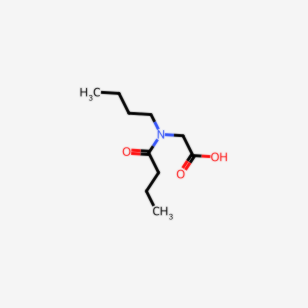 CCCCN(CC(=O)O)C(=O)CCC